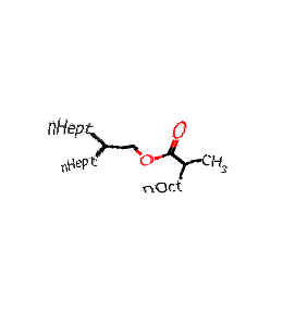 CCCCCCCCC(C)C(=O)OCC(CCCCCCC)CCCCCCC